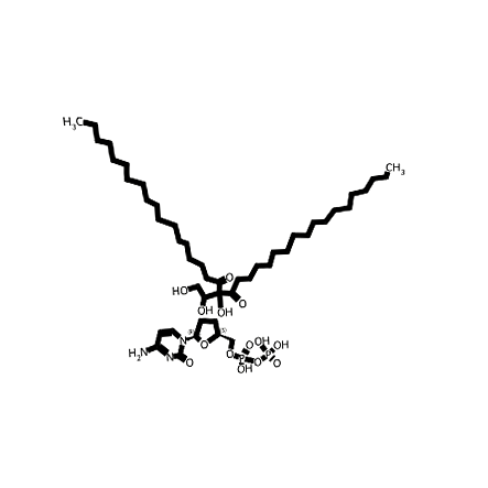 CCCCCCCCCCCCCCCCCC(=O)C(O)(C(=O)CCCCCCCCCCCCCCCCC)C(O)CO.Nc1ccn([C@H]2CC[C@@H](COP(=O)(O)OP(=O)(O)O)O2)c(=O)n1